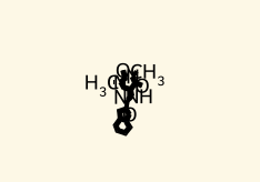 Cn1c(=O)c2[nH]c(-c3cc4ccccc4o3)nc2n(C)c1=O